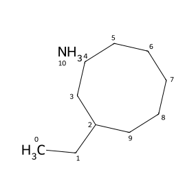 CCC1CCCCCCC1.N